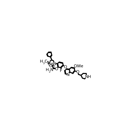 COc1cc2c(Oc3ccc(N(CC(c4ccccc4)N(C)C)C(=O)C(N)=O)cc3F)ccnc2cc1OCC1CCNCC1